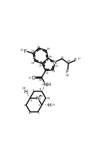 CN1[C@@H]2CCC[C@H]1C[C@H](NC(=O)c1cn(CC(F)F)c3ccc(F)cc13)C2